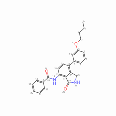 CCCCOc1cccc(-c2ccc(NC(=O)c3ccccc3)c3c2CNC3=O)c1